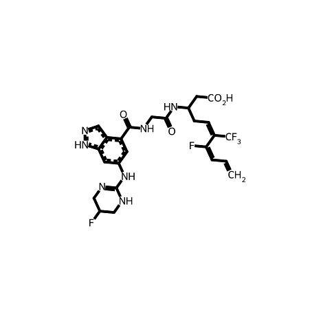 C=C/C=C(F)\C(=C/CC(CC(=O)O)NC(=O)CNC(=O)c1cc(NC2=NCC(F)CN2)cc2[nH]ncc12)C(F)(F)F